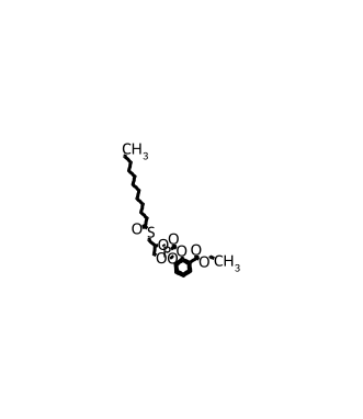 CCCCCCCCCCCC(=O)SCC1COP(=O)(C(=O)Oc2ccccc2C(=O)OCC)O1